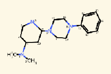 CN(C)C1CC[N]C(N2CCN(c3ccccc3)CC2)C1